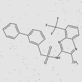 Cc1nc2cccc(C(F)(F)F)c2nc1NS(=O)(=O)Cc1cccc(-c2ccccc2)c1